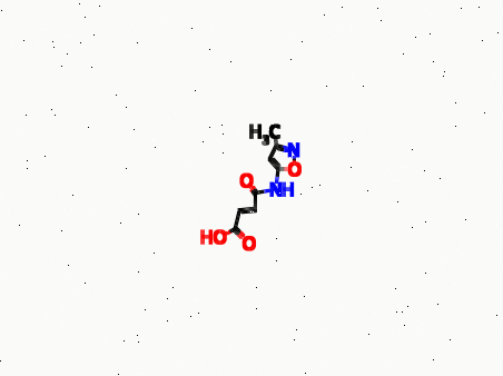 Cc1cc(NC(=O)C=CC(=O)O)on1